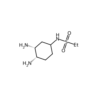 CCS(=O)(=O)NC1CC[C@H](N)[C@H](N)C1